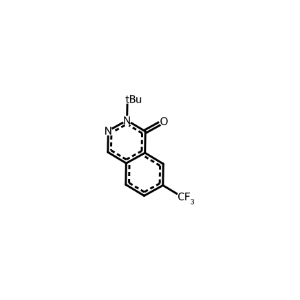 CC(C)(C)n1ncc2ccc(C(F)(F)F)cc2c1=O